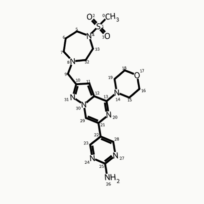 CS(=O)(=O)N1CCCN(Cc2cc3c(N4CCOCC4)nc(-c4cnc(N)nc4)cn3n2)CC1